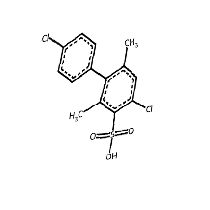 Cc1cc(Cl)c(S(=O)(=O)O)c(C)c1-c1ccc(Cl)cc1